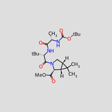 COC(=O)[C@@H]1[C@@H]2[C@H](CN1C(=O)[C@@H](NC(=O)[C@H](C)NC(=O)OC(C)(C)C)C(C)(C)C)C2(C)C